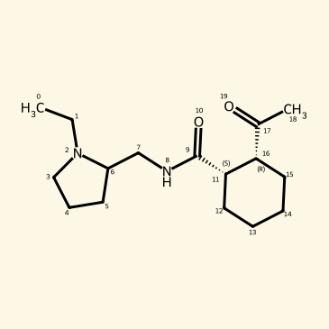 CCN1CCCC1CNC(=O)[C@H]1CCCC[C@H]1C(C)=O